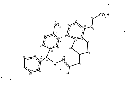 CC(CC1CCc2c(cccc2OCC(=O)O)C1)=NOC(c1ccccc1)c1ccc([N+](=O)[O-])cc1